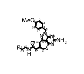 COc1ccc(Cn2nc3c4c(nc(N)nc42)SCC(CC(=O)NCCF)=C3)cc1